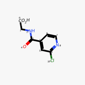 O=C(O)CNC(=O)c1ccnc(Cl)c1